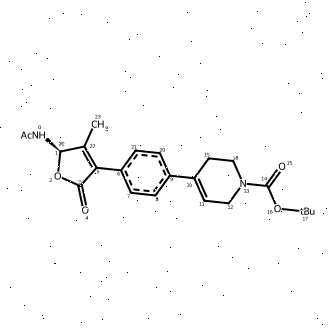 CC(=O)N[C@@H]1OC(=O)C(c2ccc(C3=CCN(C(=O)OC(C)(C)C)CC3)cc2)=C1C